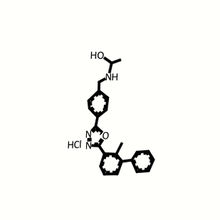 Cc1c(-c2ccccc2)cccc1-c1nnc(-c2ccc(CNC(C)O)cc2)o1.Cl